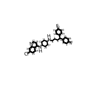 Fc1ccc(C(CCCN[C@H]2CC[C@@H](Nc3ccnc4cc(Cl)ccc34)CC2)c2ccc(F)cc2)cc1